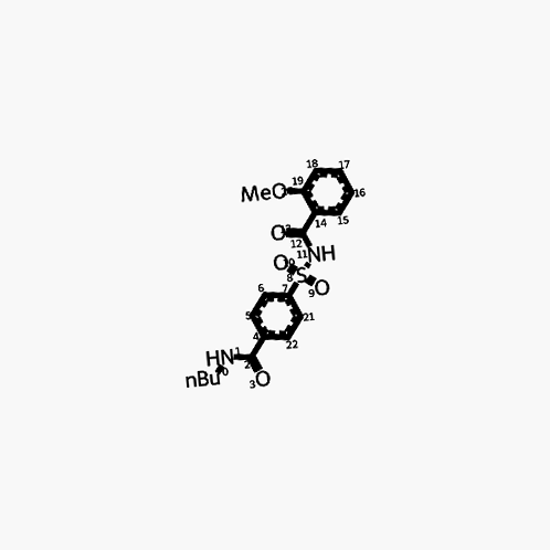 CCCCNC(=O)c1ccc(S(=O)(=O)NC(=O)c2ccccc2OC)cc1